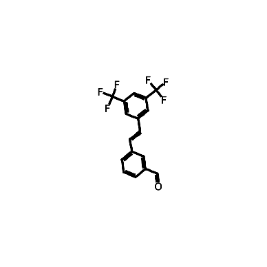 O=Cc1cccc(/C=C/c2cc(C(F)(F)F)cc(C(F)(F)F)c2)c1